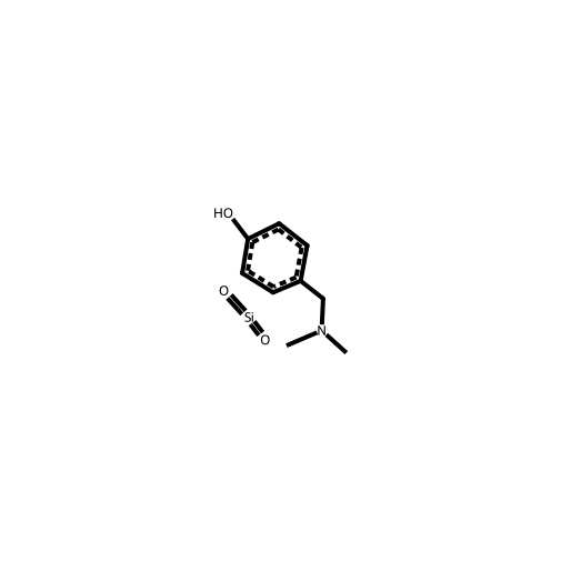 CN(C)Cc1ccc(O)cc1.O=[Si]=O